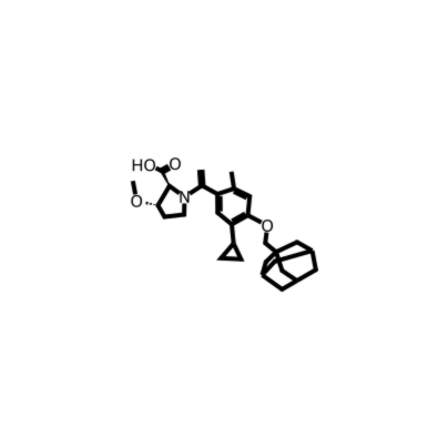 C=C(c1cc(C2CC2)c(OCC23CC4CC(CC(C4)C2)C3)cc1C)N1CC[C@H](OC)[C@H]1C(=O)O